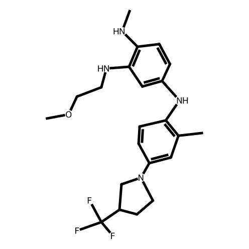 CNc1ccc(Nc2ccc(N3CCC(C(F)(F)F)C3)cc2C)cc1NCCOC